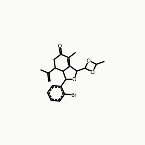 C=C(C)C1CC(=O)C(C)=C2C(C3OC(C)O3)OC(c3ccccc3Br)C21